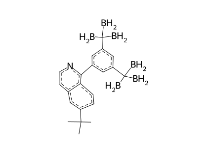 BC(B)(B)c1cc(-c2nccc3cc(C(C)(C)C)ccc23)cc(C(B)(B)B)c1